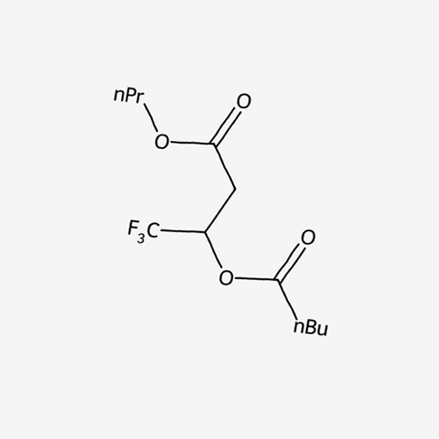 CCCCC(=O)OC(CC(=O)OCCC)C(F)(F)F